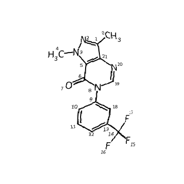 Cc1nn(C)c2c(=O)n(-c3cccc(C(F)(F)F)c3)cnc12